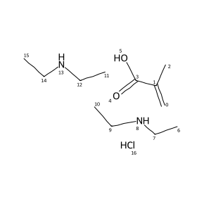 C=C(C)C(=O)O.CCNCC.CCNCC.Cl